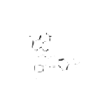 CC(C)(C)c1cccc(CC(NC(=O)c2ccc(F)c3ccccc23)C(O)c2cccc(Cl)c2)c1